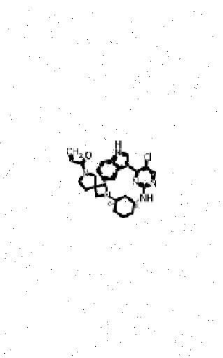 C=CC(=O)N1CCC2(C1)CN([C@@H]1CCC[C@@H](Nc3ncc(Cl)c(-c4c[nH]c5ccccc45)n3)C1)C2